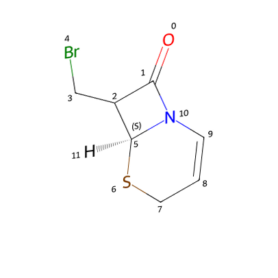 O=C1C(CBr)[C@@H]2SCC=CN12